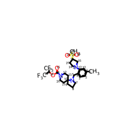 Cc1ccc(CN2CCCC23CCN(C(=O)OC(C(F)(F)F)C(F)(F)F)CC3)c(N2CCC(S(C)(=O)=O)C2)c1